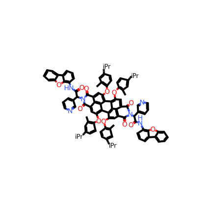 Cc1cc(C(C)C)ccc1Oc1cc2c3c(cc(Oc4ccc(C(C)C)cc4C)c4c5c(Oc6ccc(C(C)C)cc6C)cc6c7c(cc(Oc8ccc(C(C)C)cc8C)c(c1c34)c75)C(=O)N(C(C(=O)Nc1cccc3c1oc1ccccc13)c1cccnc1)C6=O)C(=O)N(C(C(=O)Nc1cccc3c1oc1ccccc13)c1cccnc1)C2=O